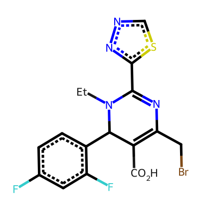 CCN1C(c2nncs2)=NC(CBr)=C(C(=O)O)C1c1ccc(F)cc1F